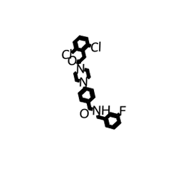 O=C(NCc1cccc(F)c1)c1ccc(N2CCN(C(=O)Cc3c(Cl)cccc3Cl)CC2)cc1